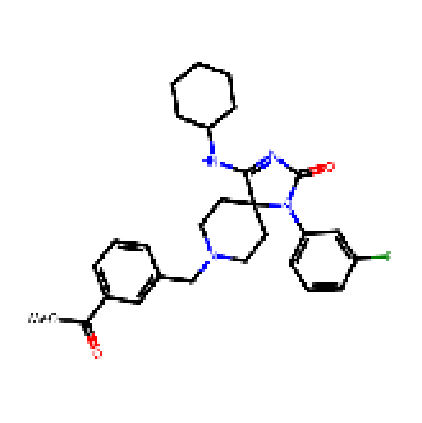 COC(=O)c1cccc(CN2CCC3(CC2)C(NC2CCCCC2)=NC(=O)N3c2cccc(F)c2)c1